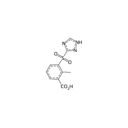 Cc1c(C(=O)O)cccc1S(=O)(=O)c1nc[nH]n1